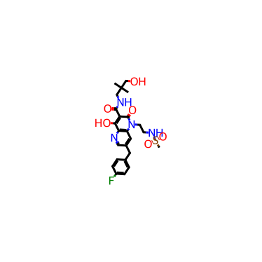 CC(C)(CO)CNC(=O)c1c(O)c2ncc(Cc3ccc(F)cc3)cc2n(CCNS(C)(=O)=O)c1=O